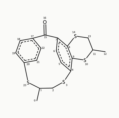 CC1CSc2ccc(c3c2SC(C)CS3)C(=O)c2ccc(cc2)S1